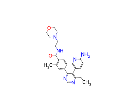 CCc1ncnc(-c2ccc(C(=O)NCCN3CCOCC3)c(C)c2)c1-c1ccc(N)nc1